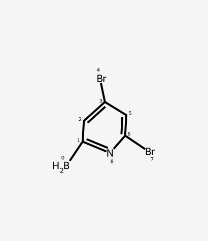 Bc1cc(Br)cc(Br)n1